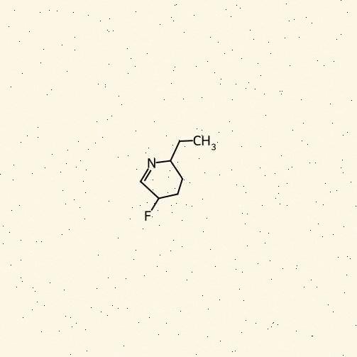 CCC1CCC(F)C=N1